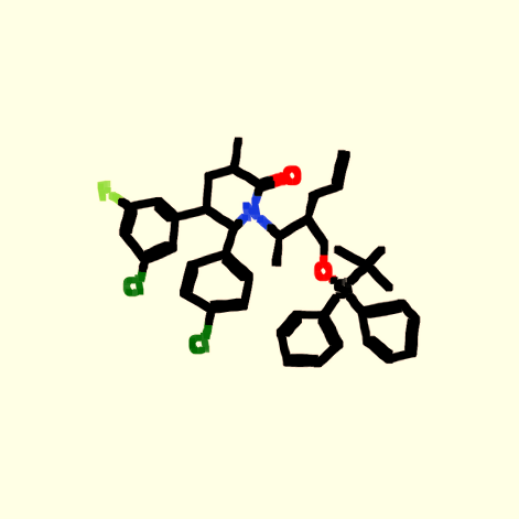 C=CC[C@@H](CO[Si](c1ccccc1)(c1ccccc1)C(C)(C)C)[C@@H](C)N1C(=O)C(C)CC(c2cc(F)cc(Cl)c2)C1c1ccc(Cl)cc1